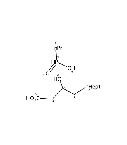 CCCCCCCCC(O)CC(=O)O.CCC[PH](=O)O